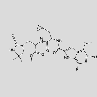 COC(=O)C(C[C@@H]1CC(C)(C)NC1=O)NC(=O)C(CC1CC1)NC(=O)c1cc2c(OC)c(Cl)cc(F)c2[nH]1